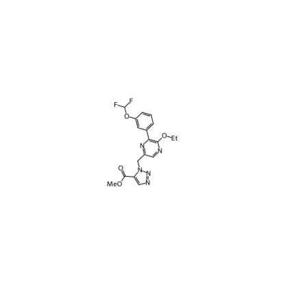 CCOc1ncc(Cn2nncc2C(=O)OC)nc1-c1cccc(OC(F)F)c1